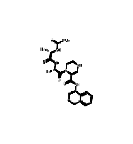 COC(=O)N[C@@H](C)C(=O)N[C@H](C(=O)N1CCNC[C@H]1C(=O)N[C@@H]1CCCc2ccccc21)C(C)C